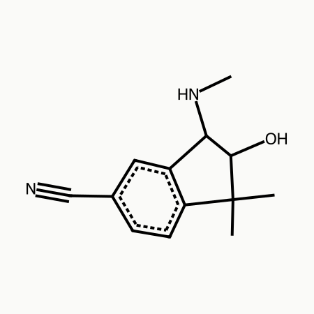 CNC1c2cc(C#N)ccc2C(C)(C)C1O